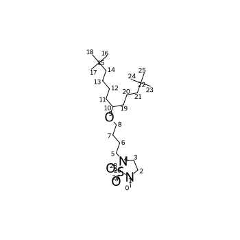 CN1CCN(CCCCOC(CCCCC(C)(C)C)CCCC(C)(C)C)S1(=O)=O